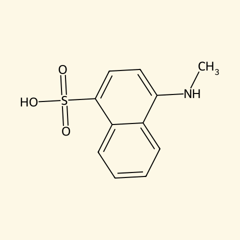 CNc1ccc(S(=O)(=O)O)c2ccccc12